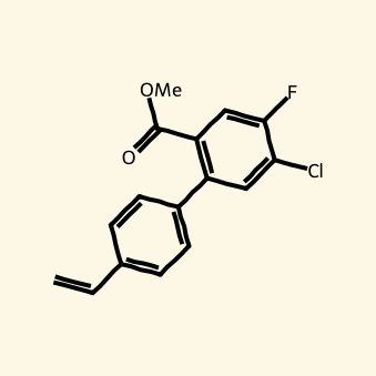 C=Cc1ccc(-c2cc(Cl)c(F)cc2C(=O)OC)cc1